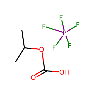 CC(C)OC(=O)O.FP(F)(F)(F)F